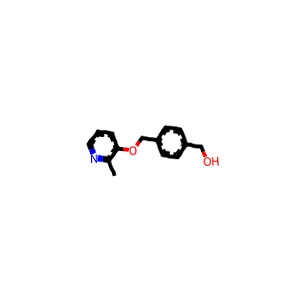 Cc1ncccc1OCc1ccc(CO)cc1